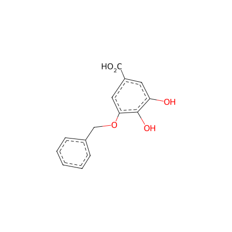 O=C(O)c1cc(O)c(O)c(OCc2ccccc2)c1